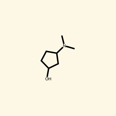 CN(C)C1CCC(O)C1